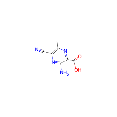 Cc1nc(C(=O)O)c(N)nc1C#N